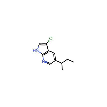 CCC(C)c1cnc2[nH]cc(Cl)c2c1